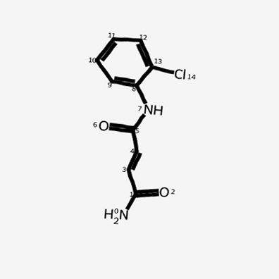 NC(=O)C=CC(=O)Nc1ccccc1Cl